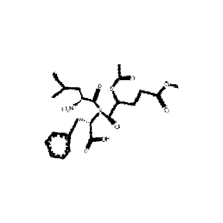 COC(=O)CCC(SC(C)=O)C(=O)N(C(=O)[C@@H](N)CC(C)C)[C@@H](Cc1ccccc1)C(=O)O